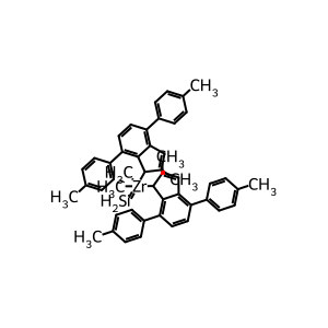 CC1=Cc2c(-c3ccc(C)cc3)ccc(-c3ccc(C)cc3)c2[CH]1[Zr]([CH3])([CH3])(=[SiH2])[CH]1C(C)=Cc2c(-c3ccc(C)cc3)ccc(-c3ccc(C)cc3)c21